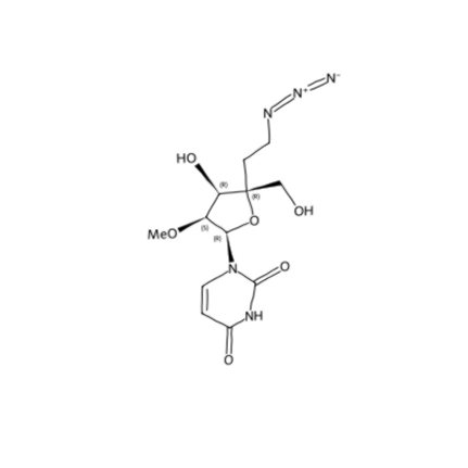 CO[C@@H]1[C@H](n2ccc(=O)[nH]c2=O)O[C@@](CO)(CCN=[N+]=[N-])[C@@H]1O